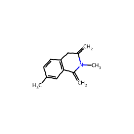 C=C1Cc2ccc(C)cc2C(=C)N1C